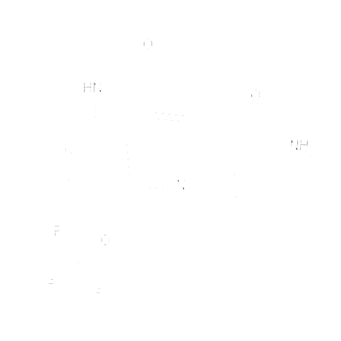 Cc1cc(C(N)=O)c(C=C2C(=O)Nc3ccc(OC(F)(F)F)cc32)n1C